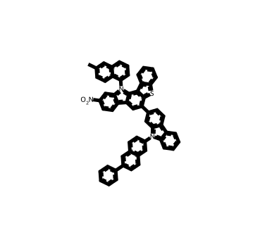 Cc1ccc2c(-n3c4cc([N+](=O)[O-])ccc4c4cc(-c5ccc6c7ccccc7n(-c7ccc8cc(-c9ccccc9)ccc8c7)c6c5)c5sc6ccccc6c5c43)cccc2c1